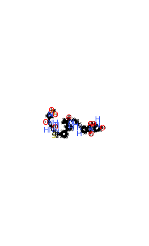 CS(=O)(=O)N1CCC(C(=O)NCC(=O)NC2NC(c3cccc(C4CCNC(C5(C(=O)NCCCCNc6ccc7c(c6)C(=O)N(C6CCC(=O)NC6=O)C7=O)CC5)C4)c3)CS2)C1